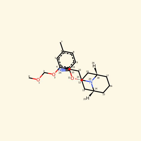 COCOc1cc(C)ccc1O[C@H]1C[C@H]2CCC[C@@H](C1)N2CCC#N